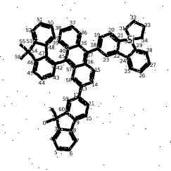 CC1(C)c2ccccc2-c2ccc(-c3ccc4c(-c5ccc6c(c5)-c5ccccc5[Si]65CCCC5)c5ccccc5c(-c5cccc6c5-c5ccccc5C6(C)C)c4c3)cc21